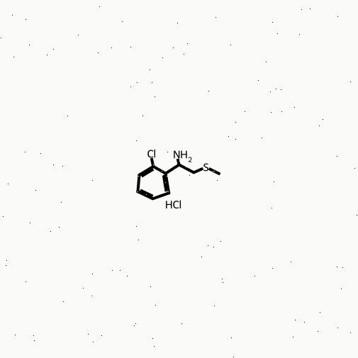 CSCC(N)c1ccccc1Cl.Cl